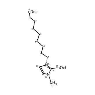 CCCCCCCCCCCCCCCCCC[n+]1ccn(C)c1CCCCCCCC